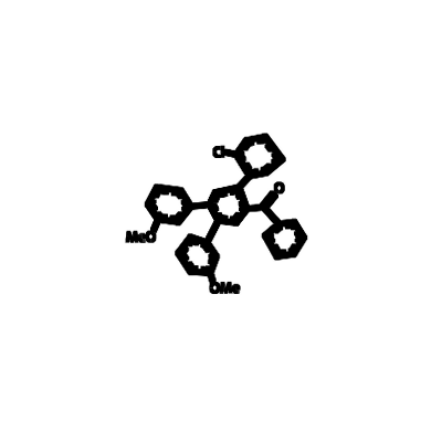 COc1cccc(-c2cc(C(=O)c3ccccc3)c(-c3ccccc3Cl)cc2-c2cccc(OC)c2)c1